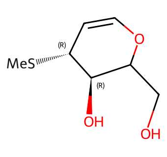 CS[C@@H]1C=COC(CO)[C@H]1O